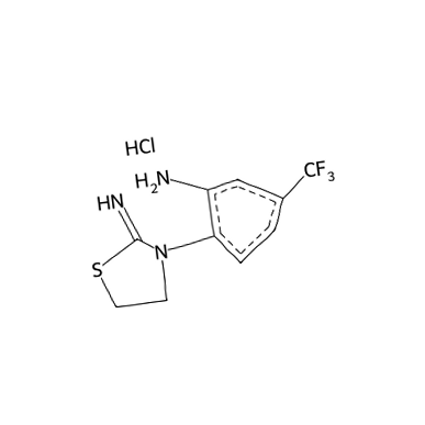 Cl.N=C1SCCN1c1ccc(C(F)(F)F)cc1N